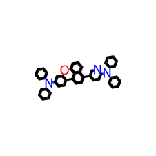 c1ccc(N(c2ccccc2)c2ccc3c(c2)Oc2cccc4c(-c5ccc(N(c6ccccc6)c6ccccc6)nc5)ccc-3c24)cc1